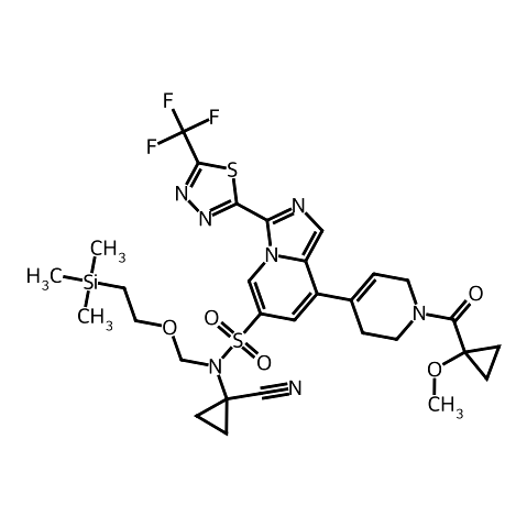 COC1(C(=O)N2CC=C(c3cc(S(=O)(=O)N(COCC[Si](C)(C)C)C4(C#N)CC4)cn4c(-c5nnc(C(F)(F)F)s5)ncc34)CC2)CC1